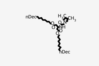 CCCCCCCCCCCCCCCCCCOC(=O)CC(CC(=O)OCCCCCCCCCCCCCCCCCC)NC(=O)CN1C[C@@H](C)[C@@H](C)C1